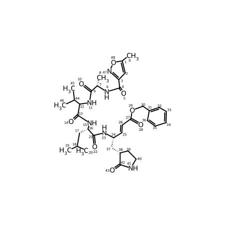 Cc1cc(C(=O)N[C@@H](C)C(=O)NC(C(=O)N[C@@H](CC(C)C)C(=O)N[C@H](/C=C/C(=O)OCc2ccccc2)C[C@@H]2CCNC2=O)C(C)C)no1